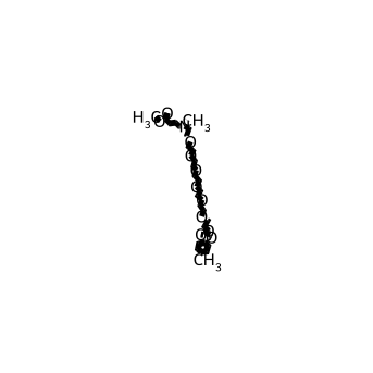 COC(=O)/C=C/CN(C)CCOCCOCCOCCOCCOCCOCCOS(=O)(=O)c1ccc(C)cc1